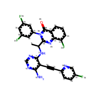 CC(Nc1ncnc(N)c1C#Cc1ccc(F)cn1)c1nc2c(F)cccc2c(=O)n1-c1cc(F)cc(F)c1